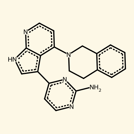 Nc1nccc(-c2c[nH]c3nccc(N4CCc5ccccc5C4)c23)n1